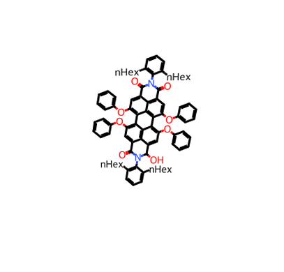 CCCCCCc1cccc(CCCCCC)c1N1C(=O)c2cc(Oc3ccccc3)c3c4c(Oc5ccccc5)cc5c6c(cc(Oc7ccccc7)c(c7c(Oc8ccccc8)cc(c2c37)C1=O)c64)C(O)N(c1c(CCCCCC)cccc1CCCCCC)C5=O